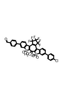 CCC1=C(C2=C(C3=C(CC)S(=O)(=O)c4cc(-c5ccc(C=O)cc5)ccc43)C(F)(F)C(F)(F)C2(F)F)c2ccc(-c3ccc(Cl)cc3)cc2S1(=O)=O